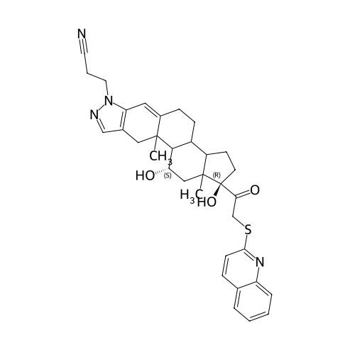 CC12Cc3cnn(CCC#N)c3C=C1CCC1C2[C@@H](O)CC2(C)C1CC[C@]2(O)C(=O)CSc1ccc2ccccc2n1